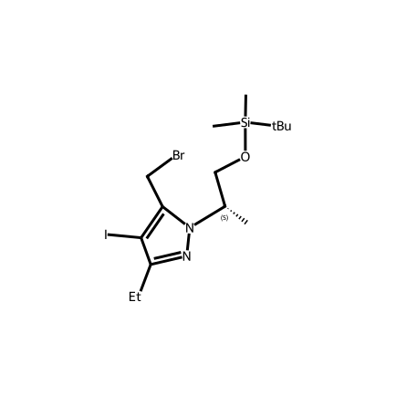 CCc1nn([C@@H](C)CO[Si](C)(C)C(C)(C)C)c(CBr)c1I